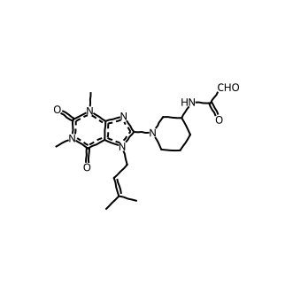 CC(C)=CCn1c(N2CCCC(NC(=O)C=O)C2)nc2c1c(=O)n(C)c(=O)n2C